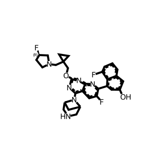 Oc1cc(-c2nc3nc(OCC4(CN5CC[C@@H](F)C5)CC4)nc(N4C5CNCC4C5)c3cc2F)c2c(F)cccc2c1